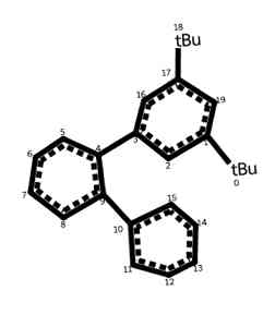 CC(C)(C)c1cc(-c2ccccc2-c2ccccc2)cc(C(C)(C)C)c1